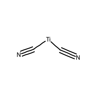 N#[C][Ti][C]#N